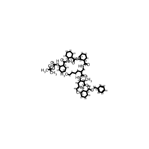 CCCCCC(CNC(=O)C1CCCC2C1N2C(=O)C1CCCCC1NC(=O)C1CCCCC1NC(=O)OC(C)(C)C)C(=O)NC(CCCC)C(C)C(=O)N[C@H]1CCCCC1C(=O)OCc1ccccc1